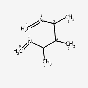 C=NC(C)C(C)C(C)N=C